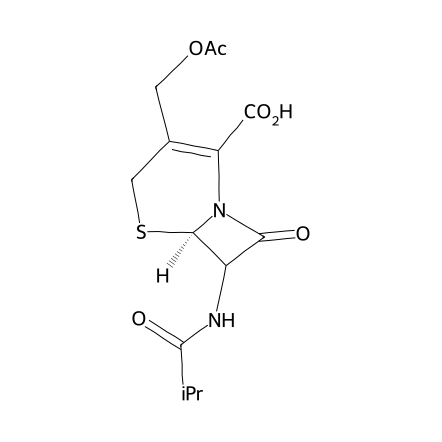 CC(=O)OCC1=C(C(=O)O)N2C(=O)C(NC(=O)C(C)C)[C@H]2SC1